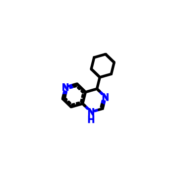 C1=NC(C2CCCCC2)c2cnccc2N1